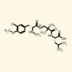 CN[C@H](Cc1ccc(OC)c(Cl)c1)C(=O)NCC(C)(C)C(=O)N[C@@H](CC(C)C)C(=O)O